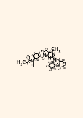 C=CC(=O)Nc1cccc(CN2CCc3c(C)nc(Nc4ccccc4N4CCOCC4)nc32)c1